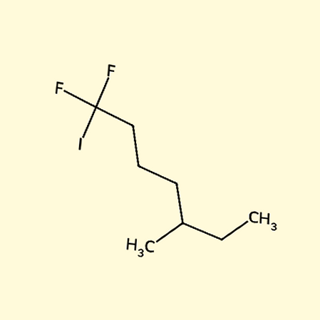 CCC(C)CCCC(F)(F)I